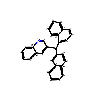 c1ccc2cc(C(c3cnc4ccccc4c3)c3cccc4ccccc34)ccc2c1